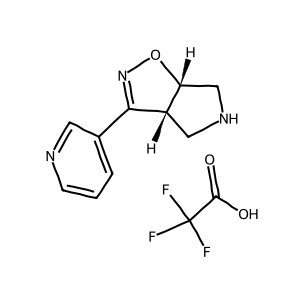 O=C(O)C(F)(F)F.c1cncc(C2=NO[C@@H]3CNC[C@H]23)c1